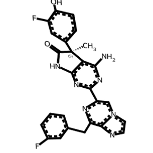 C[C@@]1(c2ccc(O)c(F)c2)C(=O)Nc2nc(-c3cn4ccnc4c(Cc4cccc(F)c4)n3)nc(N)c21